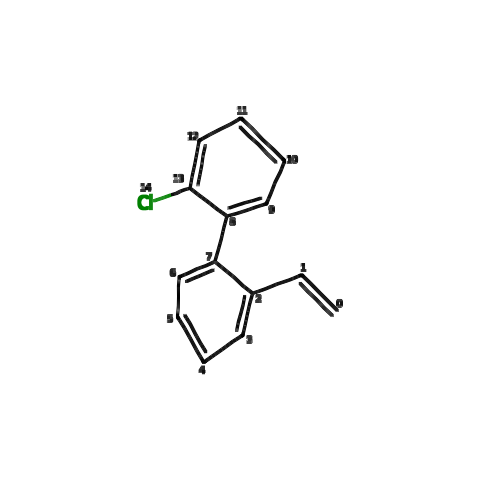 C=Cc1ccccc1-c1ccccc1Cl